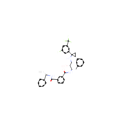 C[C@@H](NC(=O)c1cccc(C(=O)N[C@@H](Cc2ccccc2)[C@H](O)CNC2(c3cc(F)cc(C(F)(F)F)c3)CC2)c1)c1ccccc1